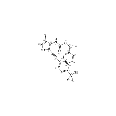 CCC1(c2ccc(C#Cc3onc(C)c3NC(=O)O[C@H](C)c3ccccc3)cc2)CC1